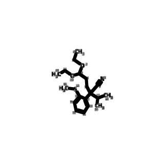 CCOC(CCC(C#N)(c1ccccc1SC)C(C)C)OCC